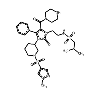 CC(C)CS(=O)(=O)NCCn1c(C(=O)N2CCNCC2)c(-c2ccccc2)n(C2CCCN(S(=O)(=O)c3cnn(C)c3)C2)c1=O